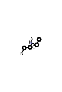 N#C/N=C1\CC2(CCCC(c3ccccc3)C2)Oc2ccc(-c3cccc(C#N)c3)cc21